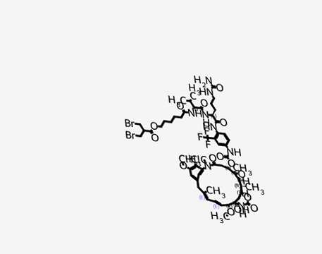 COc1cc2cc(c1Cl)N(C)C(=O)C[C@H](OC(=O)Nc1ccc(NC(=O)[C@H](CCCNC(N)=O)NC(=O)[C@@H](NC(=O)CCCCCOC(=O)C(CBr)CBr)C(C)C)c(C(F)(F)F)c1)[C@]1(C)O[C@H]1[C@H](C)[C@@H]1C[C@@](O)(NC(=O)O1)[C@H](OC)/C=C/C=C(\C)C2